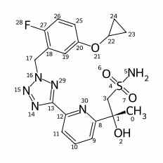 C[C@](O)(CS(N)(=O)=O)c1cccc(-c2nnn(Cc3cc(OC4CC4)ccc3F)n2)n1